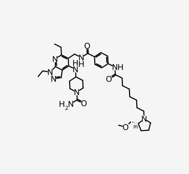 CCc1nc2c(cnn2CC)c(NC2CCN(C(N)=O)CC2)c1CNC(=O)c1ccc(NC(=O)CCCCCCCN2CCC[C@@H]2COC)cc1